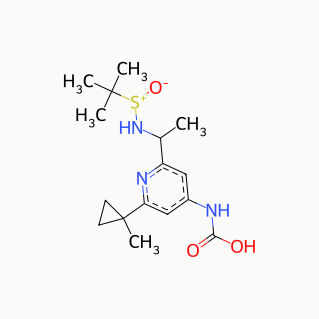 CC(N[S+]([O-])C(C)(C)C)c1cc(NC(=O)O)cc(C2(C)CC2)n1